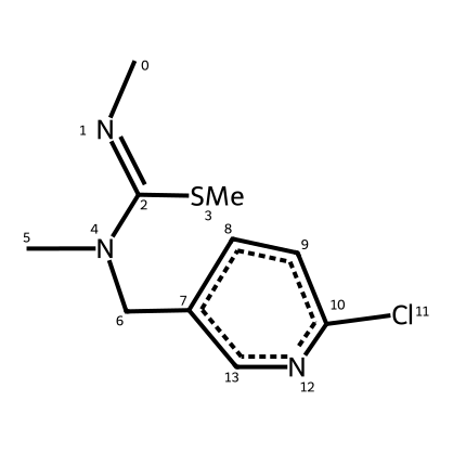 C/N=C(\SC)N(C)Cc1ccc(Cl)nc1